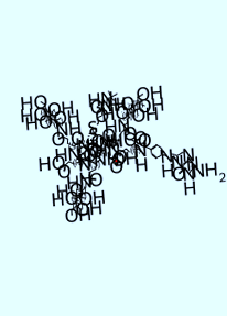 CC(C)(C)NNC(=O)OCCSSC[C@@H](NC(=O)[C@H](CCC(=O)NC[C@H](O)[C@@H](O)[C@H](O)[C@H](O)CO)NC(=O)[C@@H](CCC(=O)O)NC(=O)[C@H](CCC(=O)NC[C@H](O)[C@@H](O)[C@H](O)[C@H](O)CO)NC(=O)[C@@H](CCC(=O)O)NC(=O)[C@H](CCC(=O)NC[C@H](O)[C@@H](O)[C@H](O)[C@H](O)CO)NC(=O)CC[C@@H](NC(=O)c1ccc(NCc2cnc3nc(N)[nH]c(=O)c3n2)cc1)C(=O)O)C(=O)O